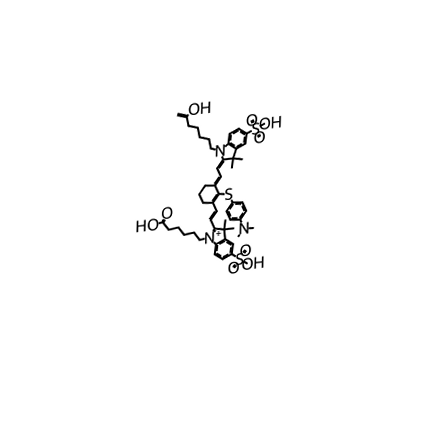 C=C(O)CCCCCN1/C(=C/C=C2\CCCC(/C=C/C3=[N+](CCCCCC(=O)O)c4ccc(S(=O)(=O)O)cc4C3(C)C)=C2Sc2ccc(N(C)C)cc2)C(C)(C)c2cc(S(=O)(=O)O)ccc21